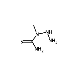 CN(NN)C(N)=S